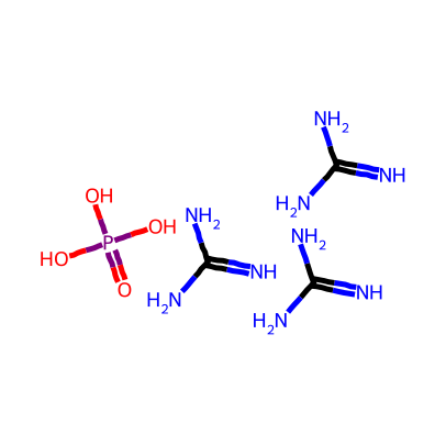 N=C(N)N.N=C(N)N.N=C(N)N.O=P(O)(O)O